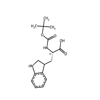 CC(C)(C)OC(=O)N[C@@H](CC1CNc2ccccc21)C(=O)O